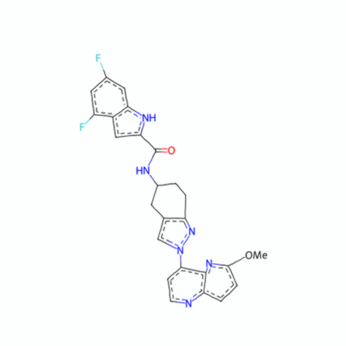 COc1ccc2nccc(-n3cc4c(n3)CCC(NC(=O)c3cc5c(F)cc(F)cc5[nH]3)C4)c2n1